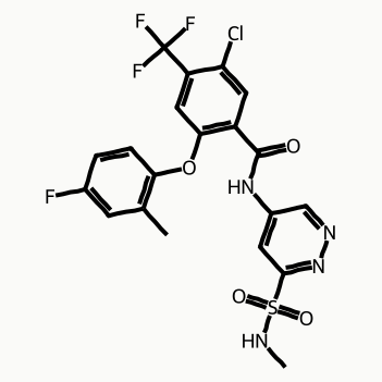 CNS(=O)(=O)c1cc(NC(=O)c2cc(Cl)c(C(F)(F)F)cc2Oc2ccc(F)cc2C)cnn1